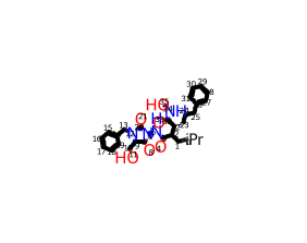 CC(C)CC(C(=O)NN1C(=O)C(CO)N(Cc2ccccc2)C1=O)[C@@H](CCCc1ccccc1)C(=O)NO